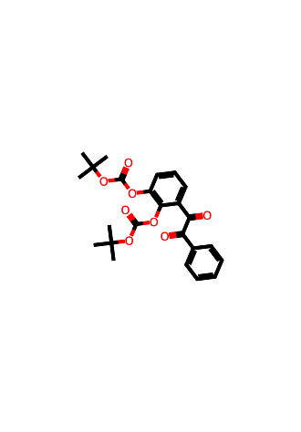 CC(C)(C)OC(=O)Oc1cccc(C(=O)C(=O)c2ccccc2)c1OC(=O)OC(C)(C)C